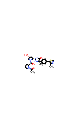 CC(=O)N1CCC[C@H]1C(=O)N1C[C@H](O)C[C@H]1C1=NC(=O)[C@](C)(c2ccc(-c3scnc3C)cc2)N1